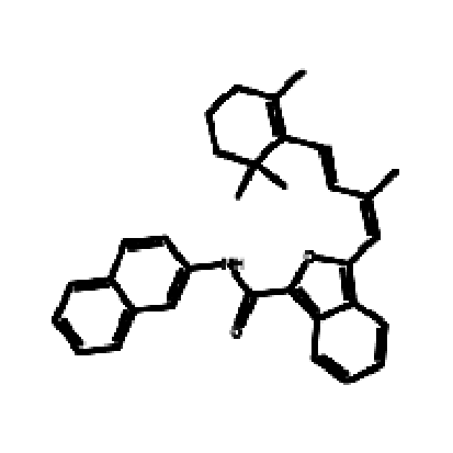 CC(C=CC1=C(C)CCCC1(C)C)=Cc1oc(C(=O)Nc2ccc3ccccc3c2)c2ccccc12